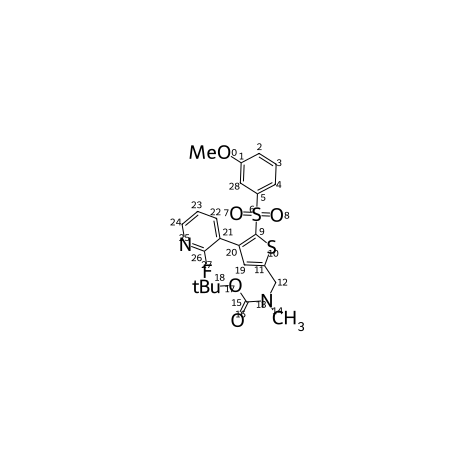 COc1cccc(S(=O)(=O)c2sc(CN(C)C(=O)OC(C)(C)C)cc2-c2cccnc2F)c1